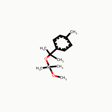 CO[Si](C)(C)OC(C)(C)c1ccc(C)cc1